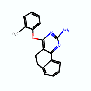 Cc1ccccc1Oc1nc(N)nc2c1CCc1ccccc1-2